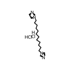 Cl.Cl.c1cn(CCCCCCCCCCCCn2ccnc2)cn1